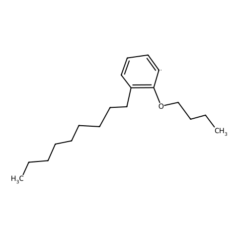 CCCCCCCCCc1ccc[c]c1OCCCC